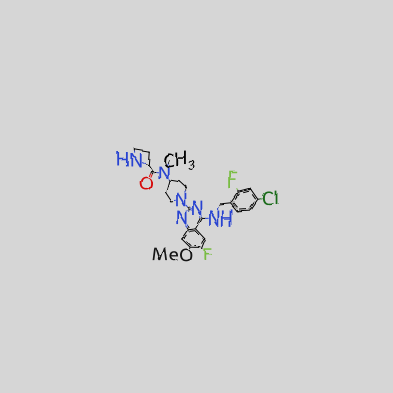 COc1cc2nc(N3CCC(N(C)C(=O)C4CCN4)CC3)nc(NCc3ccc(Cl)cc3F)c2cc1F